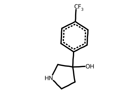 OC1(c2ccc(C(F)(F)F)cc2)CCNC1